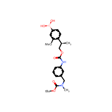 COc1cc(B(O)O)ccc1[C@@H](C)COC(=O)Nc1cccc(CN(C)C(=O)OC(C)(C)C)c1